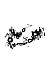 Cc1c(NC(=O)c2ccc(C(C)(C)C)cc2)cccc1-c1cn(C)c(=O)c(Nc2ccc(C(=O)N3CCN(CCOCCOCCNc4ccc(S(=O)(=O)Nc5ccc(C)c6c(C#N)c[nH]c56)cc4C#N)CC3)cc2)n1